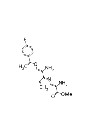 C=CC(=N\C=C(/N)C(=O)OC)/C(N)=C/OC(=C)c1ccc(F)cc1